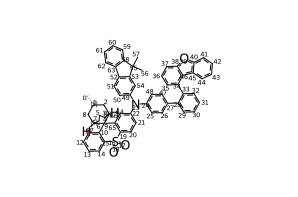 C[C@@H]1C[C@H]2CCC[C@@H](C1)C21c2ccccc2S(=O)(=O)c2ccc(N(c3ccc(-c4ccccc4-c4cccc5oc6ccccc6c45)cc3)c3ccc4c(c3)C(C)(C)c3ccccc3-4)cc21